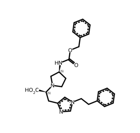 O=C(N[C@H]1CCN([C@@H](Cc2cn(CCc3ccccc3)cn2)C(=O)O)C1)OCc1ccccc1